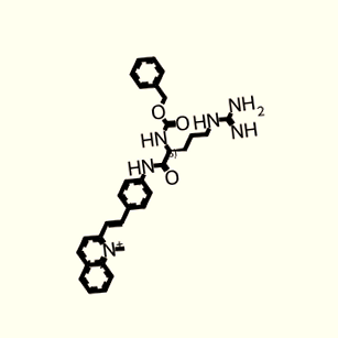 C[n+]1c(C=Cc2ccc(NC(=O)[C@H](CCCNC(=N)N)NC(=O)OCc3ccccc3)cc2)ccc2ccccc21